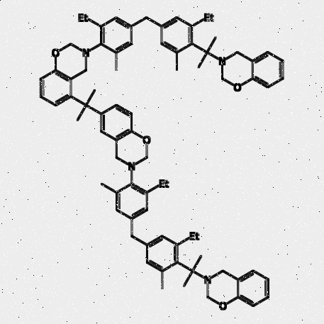 CCc1cc(Cc2cc(C)c(C(C)(C)N3COc4ccccc4C3)c(CC)c2)cc(C)c1N1COc2ccc(C(C)(C)c3cccc4c3CN(c3c(C)cc(Cc5cc(C)c(C(C)(C)N6COc7ccccc7C6)c(CC)c5)cc3CC)CO4)cc2C1